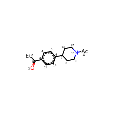 CCC(=O)c1ccc(C2CCN(C(C)=O)CC2)cc1